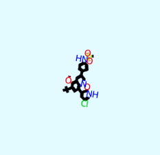 COc1c(C(C)(C)C)cc(-c2cc(Cl)c[nH]c2=O)c2ncc(-c3ccc(NS(C)(=O)=O)cc3)cc12